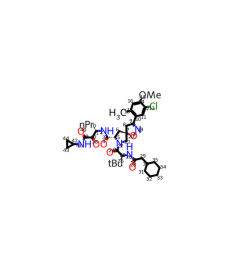 CCC[C@H](NC(=O)[C@@H]1C[C@]2(CC(c3cc(Cl)c(OC)cc3C)=NO2)CN1C(=O)[C@@H](NC(=O)CC1CCCCC1)C(C)(C)C)C(=O)C(=O)NC1CC1